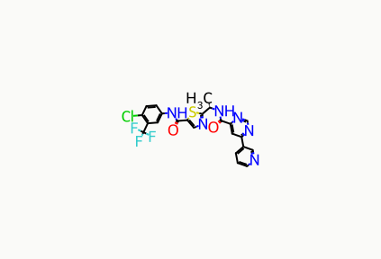 C[C@H](NC(=O)c1cc(-c2cccnc2)ncn1)c1ncc(C(=O)Nc2ccc(Cl)c(C(F)(F)F)c2)s1